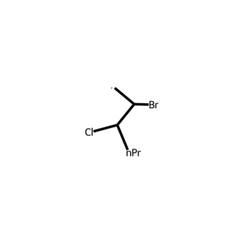 [CH2]C(Br)C(Cl)CCC